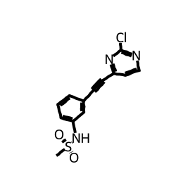 CS(=O)(=O)Nc1cccc(C#Cc2ccnc(Cl)n2)c1